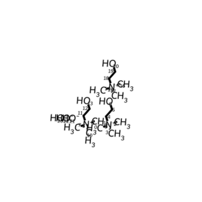 C[N+](C)(C)CCO.C[N+](C)(C)CCO.C[N+](C)(C)CCO.[OH-].[OH-].[OH-]